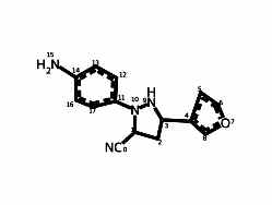 N#CC1CC(c2ccoc2)NN1c1ccc(N)cc1